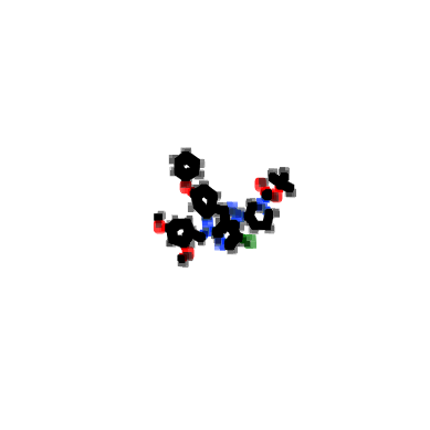 COc1ccc(CNc2ncc(Cl)c3c2c(-c2ccc(Oc4ccccc4)cc2)nn3C2CCCN(C(=O)OC(C)(C)C)C2)c(OC)c1